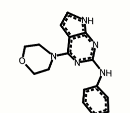 c1ccc(Nc2nc(N3CCOCC3)c3cc[nH]c3n2)cc1